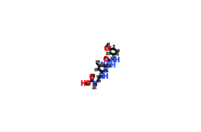 COc1cccc(NC(=O)Nc2nc(C)cc(NCCN(C)C(=O)O)n2)c1